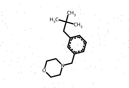 CC(C)(C)Cc1cccc(CN2CCOCC2)c1